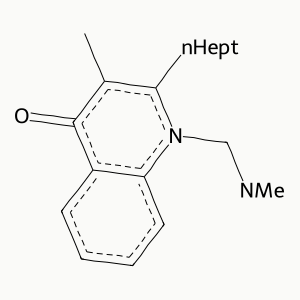 CCCCCCCc1c(C)c(=O)c2ccccc2n1CNC